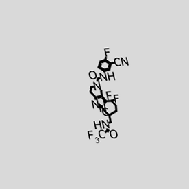 N#Cc1cc(NC(=O)N2CCc3nn4c(c3C2)C(F)(F)CCC(CNC(=O)C(F)(F)F)C4)ccc1F